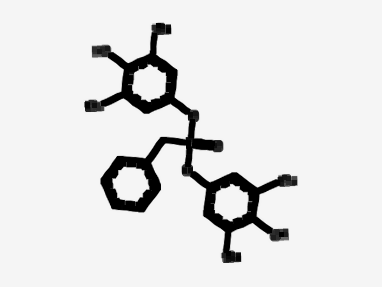 CC(C)(C)c1cc(OP(=O)(Cc2ccccc2)Oc2cc(C(C)(C)C)c(O)c(C(C)(C)C)c2)cc(C(C)(C)C)c1O